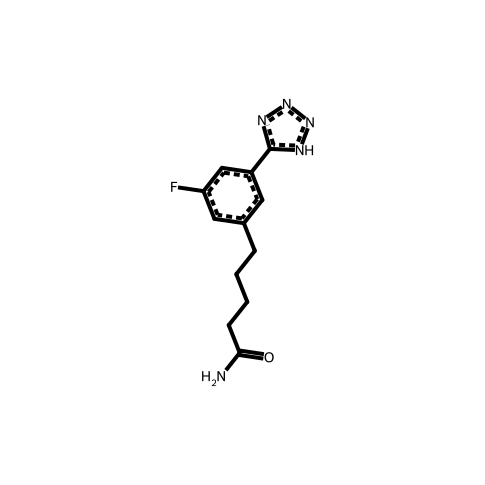 NC(=O)CCCCc1cc(F)cc(-c2nnn[nH]2)c1